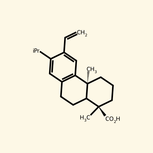 C=Cc1cc2c(cc1C(C)C)CCC1[C@](C)(C(=O)O)CCC[C@]21C